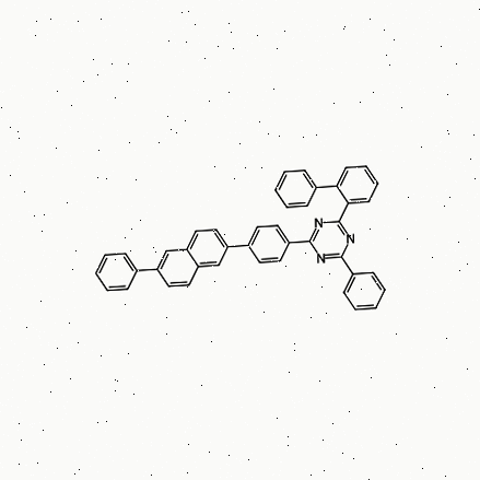 c1ccc(-c2ccc3cc(-c4ccc(-c5nc(-c6ccccc6)nc(-c6ccccc6-c6ccccc6)n5)cc4)ccc3c2)cc1